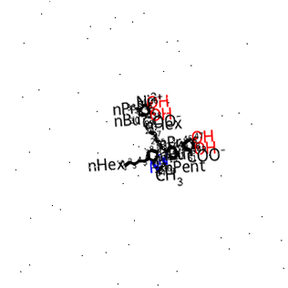 CCCCCCC=CCCCc1ccccc1N=C(C)C(CCCCC)=Nc1ccccc1CCCC=CCCCCCC.CCCCc1c(CCC)cc(O)c(O)c1C(=O)[O-].CCCCc1c(CCC)cc(O)c(O)c1C(=O)[O-].[Ni+2]